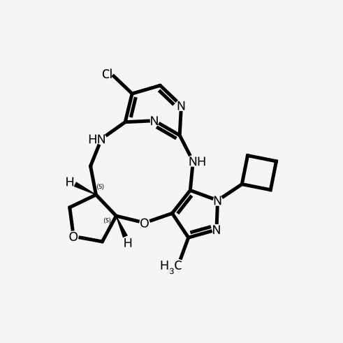 Cc1nn(C2CCC2)c2c1O[C@@H]1COC[C@@H]1CNc1nc(ncc1Cl)N2